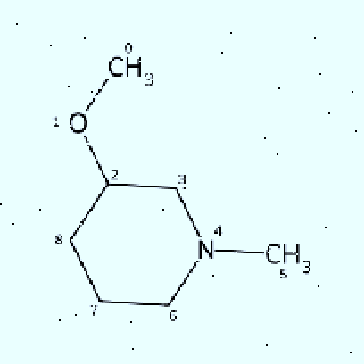 COC1[CH]N(C)CCC1